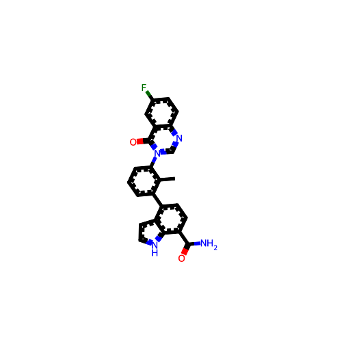 Cc1c(-c2ccc(C(N)=O)c3[nH]ccc23)cccc1-n1cnc2ccc(F)cc2c1=O